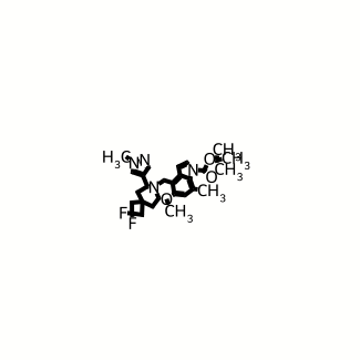 COc1cc(C)c2c(ccn2C(=O)OC(C)(C)C)c1CN1CCC2(CC1c1cnn(C)c1)CC(F)(F)C2